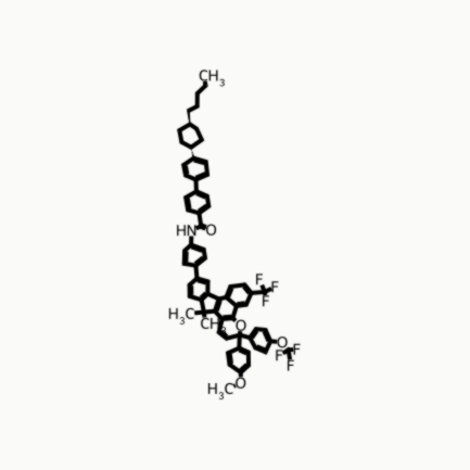 CCCCC[C@H]1CC[C@H](c2ccc(-c3ccc(C(=O)Nc4ccc(-c5ccc6c(c5)-c5c(c7c(c8cc(C(F)(F)F)ccc58)OC(c5ccc(OC)cc5)(c5ccc(OC(F)(F)F)cc5)C=C7)C6(C)C)cc4)cc3)cc2)CC1